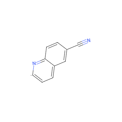 N#Cc1ccc2n[c]ccc2c1